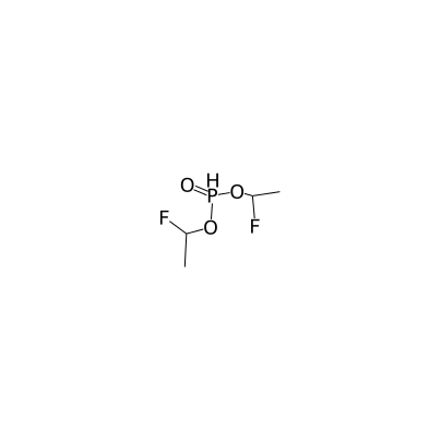 CC(F)O[PH](=O)OC(C)F